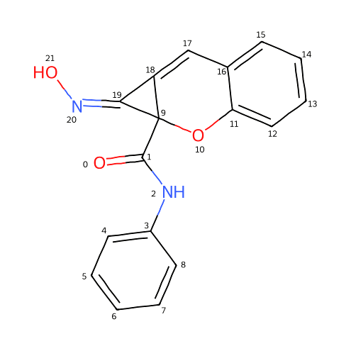 O=C(Nc1ccccc1)C12Oc3ccccc3C=C1C2=NO